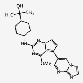 COc1nc(N[C@H]2CC[C@H](C(C)(C)O)CC2)nn2ccc(-c3cnc4nccn4c3)c12